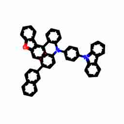 c1ccc(N(c2ccc(-c3ccc4ccccc4c3)cc2)c2ccc(-n3c4ccccc4c4ccccc43)cc2)c(-c2cccc3oc4ccccc4c23)c1